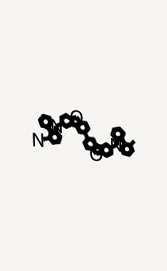 Cc1cccc2c1c1ccccc1n2-c1ccc2oc3ccc(-c4ccc5oc6ccc(-n7c8ccccc8c8c(C#N)cccc87)cc6c5c4)cc3c2c1